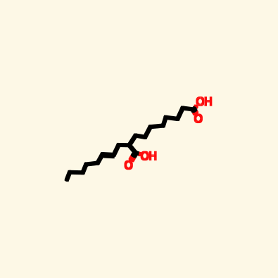 CCCCCC=CCC(CCCCCCCC(=O)O)C(=O)O